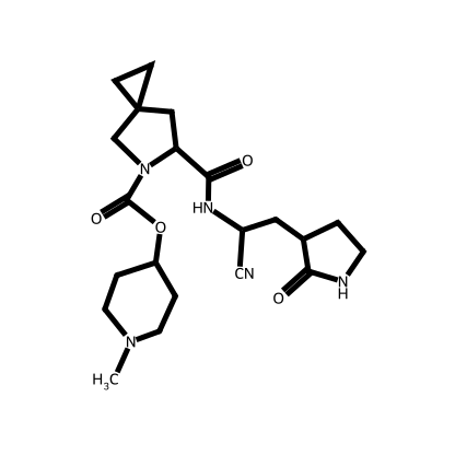 CN1CCC(OC(=O)N2CC3(CC3)CC2C(=O)NC(C#N)CC2CCNC2=O)CC1